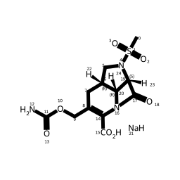 CS(=O)(=O)N1C[C@H]2CC(COC(N)=O)=C(C(=O)O)N3C(=O)[C@@H]1[C@@H]23.[NaH]